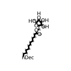 CCCCCCCCCCCCCCCCCCCCCC(=O)OC[C@H]1OC(O)[C@H](O)[C@@H](O)[C@@H]1O